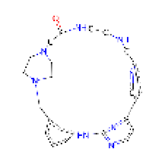 O=C1CN2CCN(CC2)Cc2cccc(c2)Nc2nccc(n2)-c2ccc(nc2)CNCCN1